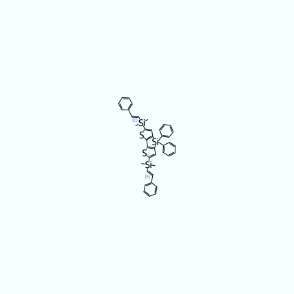 C[Si](C)(/C=C/c1ccccc1)c1cc2c(s1)-c1sc([Si](C)(C)/C=C/c3ccccc3)cc1[Si]2(c1ccccc1)c1ccccc1